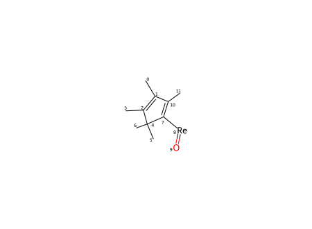 CC1=C(C)C(C)(C)[C]([Re]=[O])=C1C